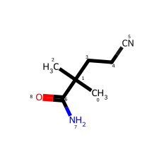 CC(C)(CCC#N)C(N)=O